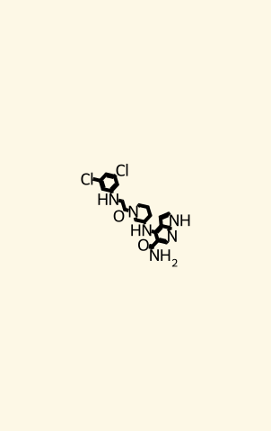 NC(=O)c1cnc2[nH]ccc2c1N[C@@H]1CCCN(C(=O)CNc2cc(Cl)cc(Cl)c2)C1